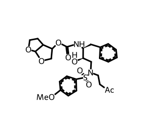 COc1ccc(S(=O)(=O)N(CCC(C)=O)C[C@@H](O)[C@H](Cc2ccccc2)NC(=O)OC2COC3OCCC23)cc1